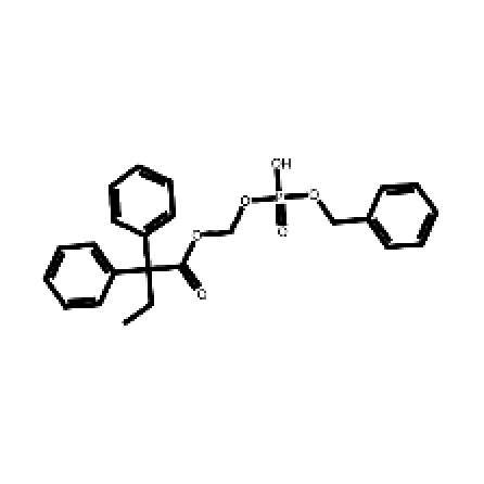 CCC(C(=O)OCOP(=O)(O)OCc1ccccc1)(c1ccccc1)c1ccccc1